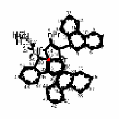 CCCC1=C(c2cc3ccccc3c3ccccc23)c2ccccc2[CH]1[Hf]([CH3])([CH3])(=[SiH2])[CH]1C(CCC)=C(c2cc3ccccc3c3ccccc23)c2ccccc21.Cl.Cl